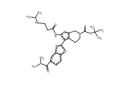 CC(C)NCCC(=O)Nc1sc2c(c1-c1nc3cc(C(=O)N(C)C)ccc3s1)CCN(C(=O)OC(C)(C)C)C2